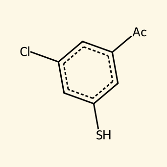 CC(=O)c1cc(S)cc(Cl)c1